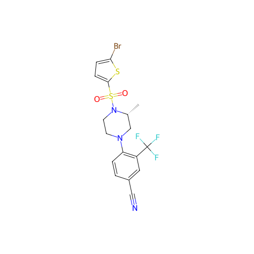 C[C@@H]1CN(c2ccc(C#N)cc2C(F)(F)F)CCN1S(=O)(=O)c1ccc(Br)s1